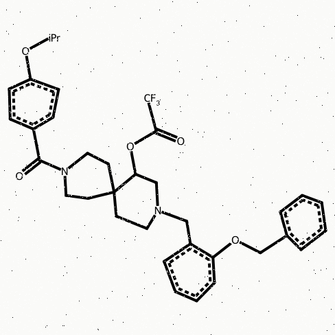 CC(C)Oc1ccc(C(=O)N2CCC3(CCN(Cc4ccccc4OCc4ccccc4)CC3OC(=O)C(F)(F)F)CC2)cc1